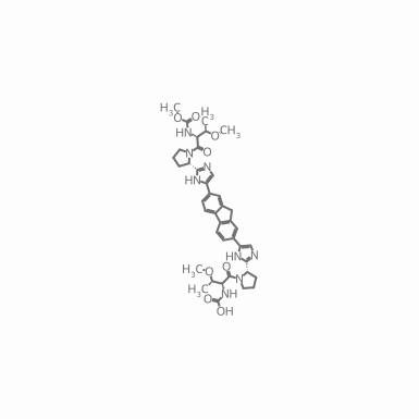 COC(=O)N[C@H](C(=O)N1CCC[C@H]1c1ncc(-c2ccc3c(c2)Cc2cc(-c4cnc([C@@H]5CCCN5C(=O)[C@@H](NC(=O)O)[C@@H](C)OC)[nH]4)ccc2-3)[nH]1)[C@@H](C)OC